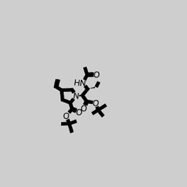 C=CC1CC(C(=O)OC(C)(C)C)N([C@@H](C(=O)OC(C)(C)C)[C@@H](CC)NC(C)=O)C1